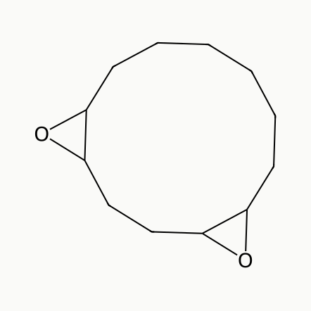 C1CCCC2OC2CCC2OC2CC1